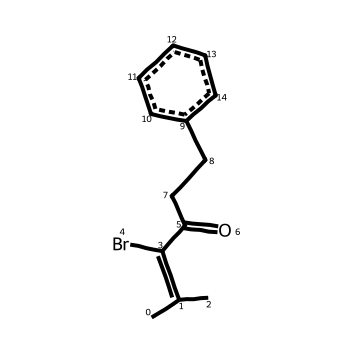 CC(C)=C(Br)C(=O)CCc1ccccc1